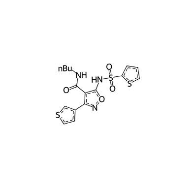 CCCCNC(=O)c1c(-c2ccsc2)noc1NS(=O)(=O)c1cccs1